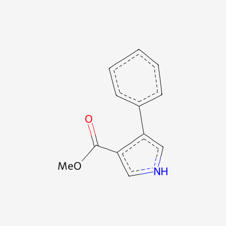 COC(=O)c1c[nH]cc1-c1ccccc1